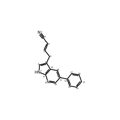 N#C/C=C/Cc1c[nH]c2ncc(-c3ccccc3)cc12